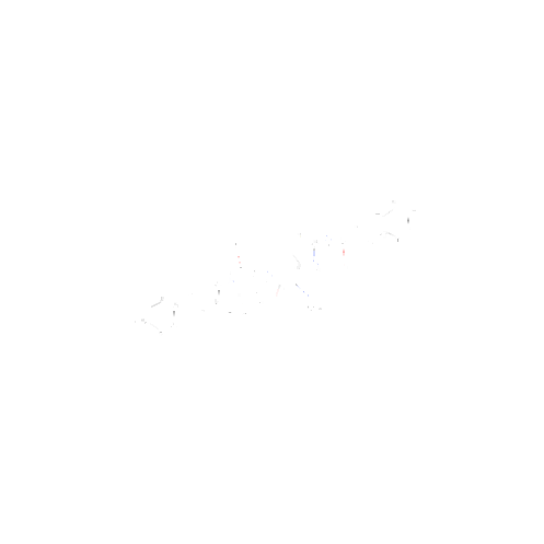 CO/N=C(\C(=O)NC1C(=O)N2C(C(=O)O)=C(CSc3ccc(Cl)cc3Cl)CS[C@H]12)c1csc(NC(=O)OCc2ccccc2)n1